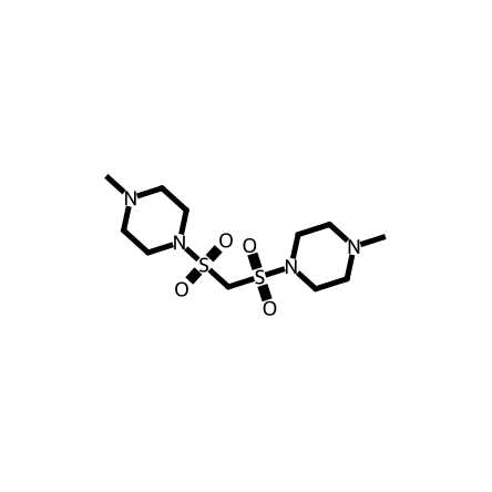 CN1CCN(S(=O)(=O)CS(=O)(=O)N2CCN(C)CC2)CC1